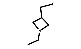 FCC1CN(CI)C1